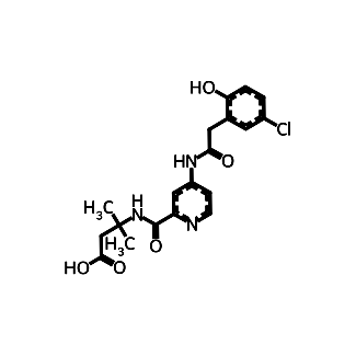 CC(C)(CC(=O)O)NC(=O)c1cc(NC(=O)Cc2cc(Cl)ccc2O)ccn1